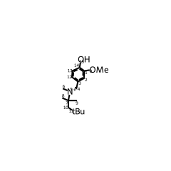 COc1cc(/C=[N+](\C)C(C)(C)CC(C)(C)C)ccc1O